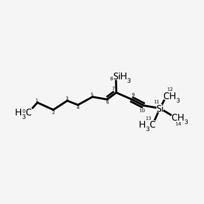 CCCCCCC=C([SiH3])C#C[Si](C)(C)C